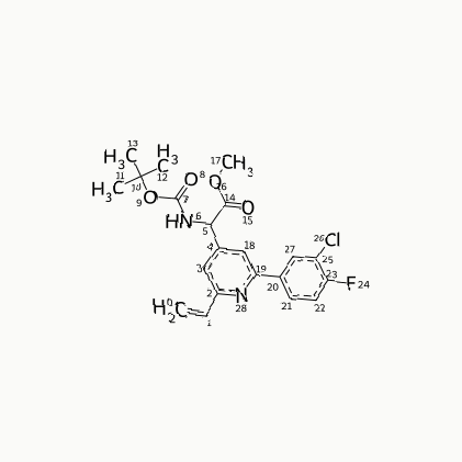 C=Cc1cc(C(NC(=O)OC(C)(C)C)C(=O)OC)cc(-c2ccc(F)c(Cl)c2)n1